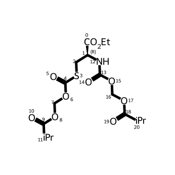 CCOC(=O)[C@H](CSC(=O)OCOC(=O)C(C)C)NC(=O)OCOC(=O)C(C)C